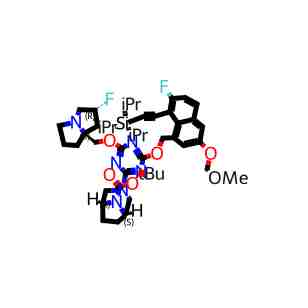 COCOc1cc(COc2nc(OC[C@@]34CCCN3C[C@H](F)C4)nc(N3C[C@H]4CC[C@@H](C3)N4C(=O)OC(C)(C)C)n2)c2c(C#C[Si](C(C)C)(C(C)C)C(C)C)c(F)ccc2c1